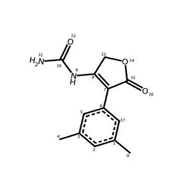 Cc1cc(C)cc(C2=C(NC(N)=O)COC2=O)c1